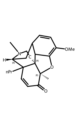 CCCC12C=CC(=O)[C@]3(C)OC4=C(OC)C=CC5C[C@H]1N(C)CC[C@@]23C45